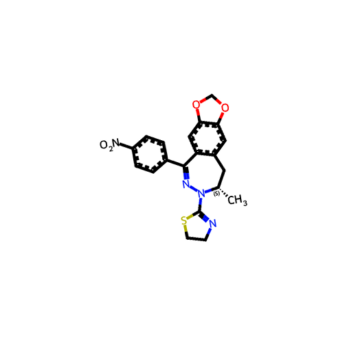 C[C@H]1Cc2cc3c(cc2C(c2ccc([N+](=O)[O-])cc2)=NN1C1=NCCS1)OCO3